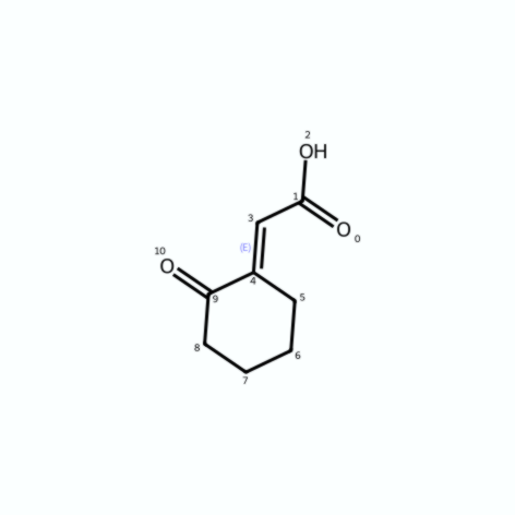 O=C(O)/C=C1\CCCCC1=O